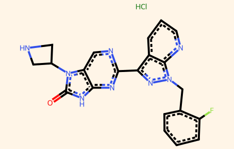 Cl.O=c1[nH]c2nc(-c3nn(Cc4ccccc4F)c4ncccc34)ncc2n1C1CNC1